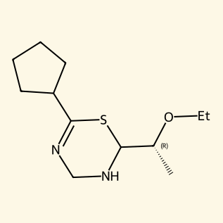 CCO[C@H](C)C1NCN=C(C2CCCC2)S1